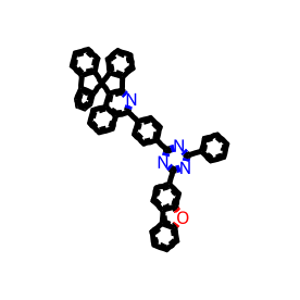 c1ccc(-c2nc(-c3ccc(-c4nc5c(c6ccccc46)C4(c6ccccc6-c6ccccc64)c4ccccc4-5)cc3)nc(-c3ccc4c(c3)oc3ccccc34)n2)cc1